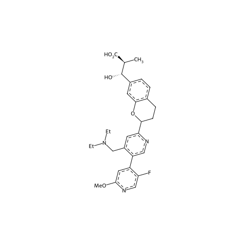 CCN(CC)Cc1cc(C2CCc3ccc([C@H](O)[C@H](C)C(=O)O)cc3O2)ncc1-c1cc(OC)ncc1F